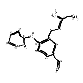 CC(C)=CCc1cc(C=O)ccc1OC1CCC=CO1